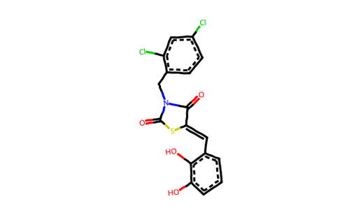 O=C1SC(=Cc2cccc(O)c2O)C(=O)N1Cc1ccc(Cl)cc1Cl